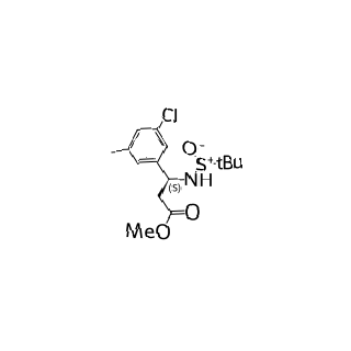 COC(=O)C[C@H](N[S+]([O-])C(C)(C)C)c1cc(C)cc(Cl)c1